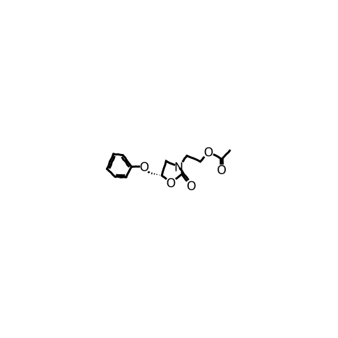 CC(=O)OCCN1C[C@@H](COc2ccccc2)OC1=O